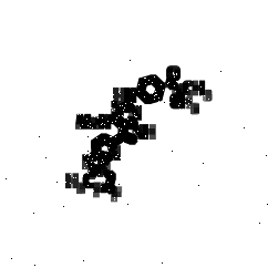 CNc1nc(N[C@H]2CC[C@@H](C(=O)N(C)C)CC2)nc2[nH]cc(-c3ccc4nc(C)n(CC(F)F)c4n3)c12